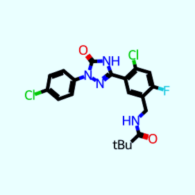 CC(C)(C)C(=O)NCc1cc(-c2nn(-c3ccc(Cl)cc3)c(=O)[nH]2)c(Cl)cc1F